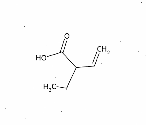 C=CC([CH]C)C(=O)O